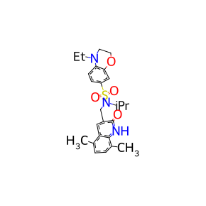 CCN1CCOc2cc(S(=O)(=O)N(Cc3cc4c(C)ccc(C)c4[nH]c3=O)C(C)C)ccc21